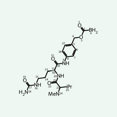 BC(=O)OCc1ccc(NC(=O)[C@H](CCCNC(N)=O)NC(=O)C(NC)C(C)C)cc1